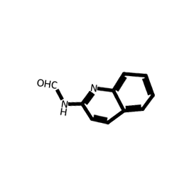 O=CNc1ccc2ccccc2n1